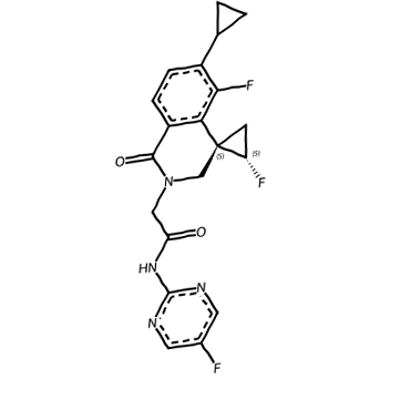 O=C(CN1C[C@]2(C[C@@H]2F)c2c(ccc(C3CC3)c2F)C1=O)Nc1ncc(F)cn1